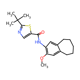 COc1cc2c(cc1NC(=O)c1cnc(C(C)(C)C)s1)CCCCC2